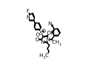 CCCCc1nc(=O)c(S(=O)(=O)c2ccc(-c3ccc(F)nc3)cc2)c(O)n1[C@@H](C)c1cccc(C#N)c1